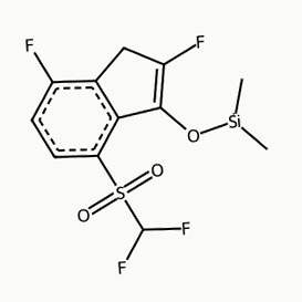 C[Si](C)OC1=C(F)Cc2c(F)ccc(S(=O)(=O)C(F)F)c21